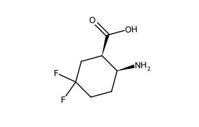 N[C@H]1CCC(F)(F)C[C@H]1C(=O)O